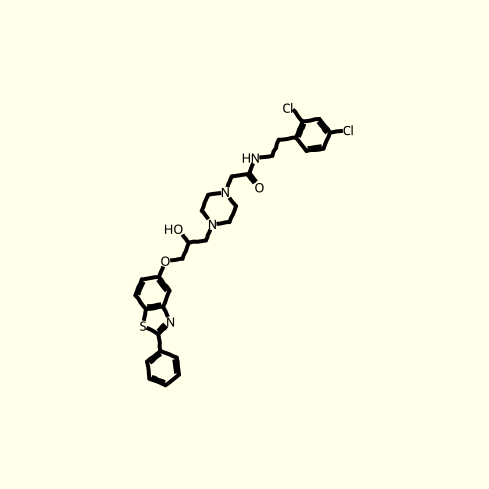 O=C(CN1CCN(CC(O)COc2ccc3sc(-c4ccccc4)nc3c2)CC1)NCCc1ccc(Cl)cc1Cl